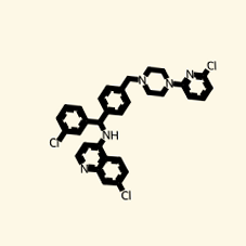 Clc1cccc(C(Nc2ccnc3cc(Cl)ccc23)c2ccc(CN3CCN(c4cccc(Cl)n4)CC3)cc2)c1